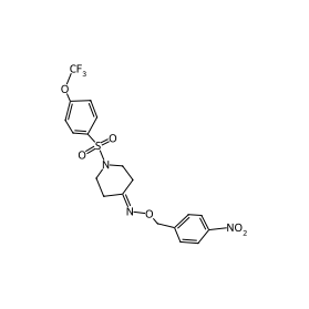 O=[N+]([O-])c1ccc(CON=C2CCN(S(=O)(=O)c3ccc(OC(F)(F)F)cc3)CC2)cc1